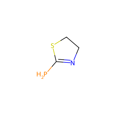 PC1=NCCS1